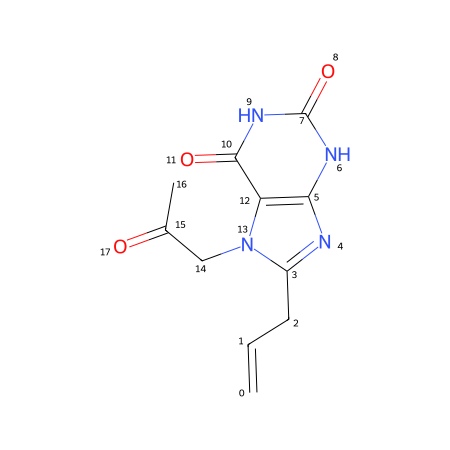 C=CCc1nc2[nH]c(=O)[nH]c(=O)c2n1CC(C)=O